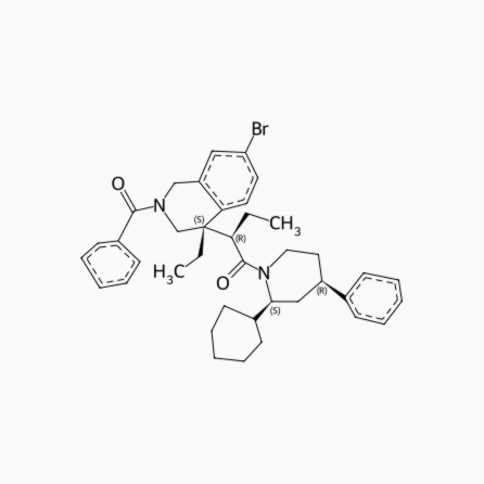 CC[C@@H](C(=O)N1CC[C@@H](c2ccccc2)C[C@H]1C1CCCCC1)[C@]1(CC)CN(C(=O)c2ccccc2)Cc2cc(Br)ccc21